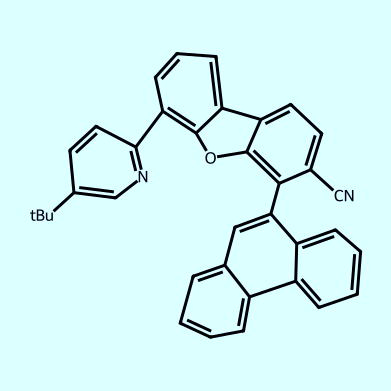 CC(C)(C)c1ccc(-c2cccc3c2oc2c(-c4cc5ccccc5c5ccccc45)c(C#N)ccc23)nc1